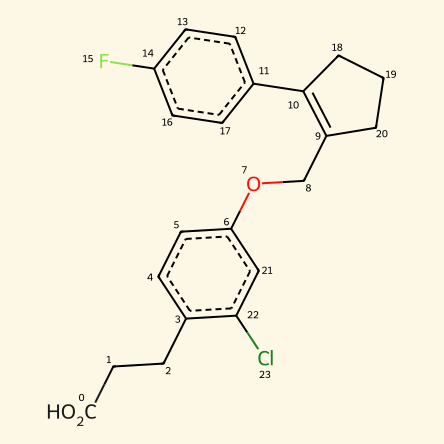 O=C(O)CCc1ccc(OCC2=C(c3ccc(F)cc3)CCC2)cc1Cl